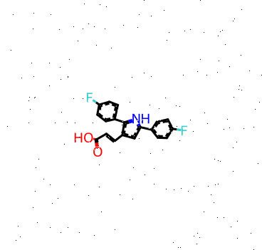 O=C(O)/C=C/c1cc(-c2ccc(F)cc2)[nH]c1-c1ccc(F)cc1